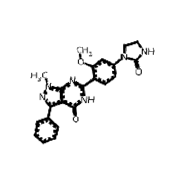 COc1cc(N2CCNC2=O)ccc1-c1nc2c(c(-c3ccccc3)nn2C)c(=O)[nH]1